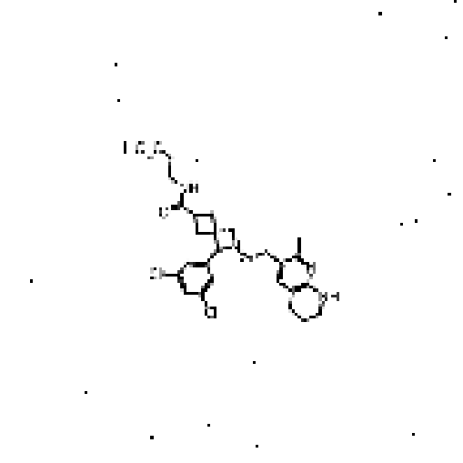 Cc1nc2c(cc1CCN1CC3(CC(C(=O)NCCC(=O)O)C3)C1c1cc(Cl)cc(Cl)c1)CCCN2